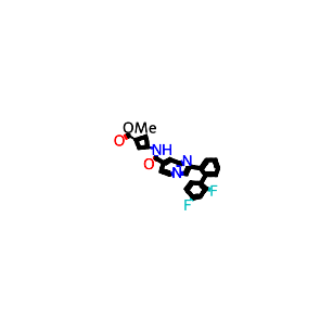 COC(=O)[C@H]1C[C@@H](NC(=O)c2ccn3cc(-c4ccccc4-c4ccc(F)cc4F)nc3c2)C1